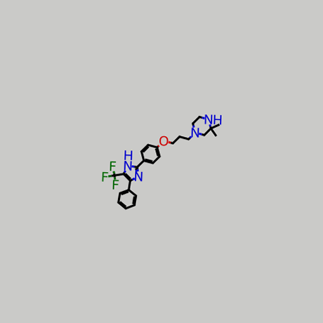 CC1(C)CN(CCCOc2ccc(-c3nc(-c4ccccc4)c(C(F)(F)F)[nH]3)cc2)CCN1